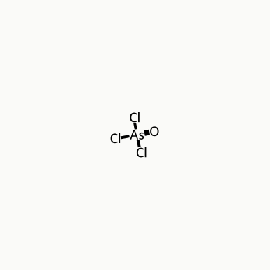 O=[As](Cl)(Cl)Cl